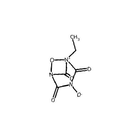 CC[N+]12ON(C(=O)N([O])C1=O)C2=O